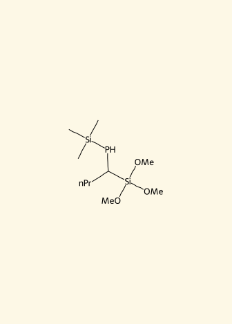 CCCC(P[Si](C)(C)C)[Si](OC)(OC)OC